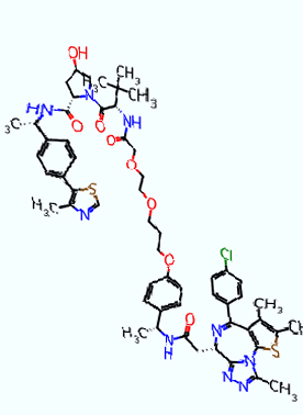 Cc1ncsc1-c1ccc([C@H](C)NC(=O)[C@@H]2C[C@@H](O)CN2C(=O)[C@@H](NC(=O)COCCOCCCOc2ccc([C@@H](C)NC(=O)C[C@@H]3N=C(c4ccc(Cl)cc4)c4c(sc(C)c4C)-n4c(C)nnc43)cc2)C(C)(C)C)cc1